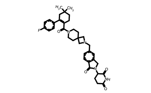 CC1(C)CCC(C(=O)N2CCC3(CC2)CN(Cc2ccc4c(c2)CN(C2CCC(=O)NC2=O)C4=O)C3)=C(c2ccc(F)cc2)C1